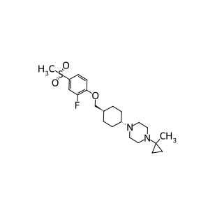 CC1(N2CCN([C@H]3CC[C@H](COc4ccc(S(C)(=O)=O)cc4F)CC3)CC2)CC1